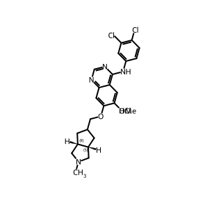 COc1cc2c(Nc3ccc(Cl)c(Cl)c3)ncnc2cc1OCC1C[C@@H]2CN(C)C[C@@H]2C1.Cl